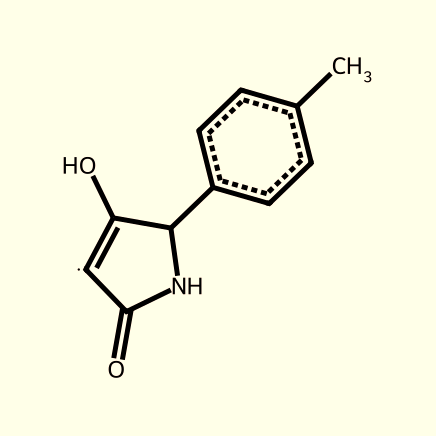 Cc1ccc(C2NC(=O)[C]=C2O)cc1